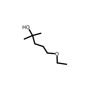 CCOCCCC(C)(C)O